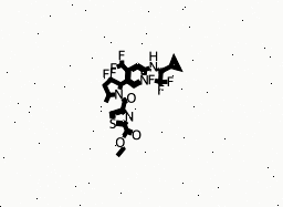 CCOC(=O)c1nc(C(=O)N2C(C)CC(F)(F)C2c2cnc(N[C@@H](C3CC3)C(F)(F)F)cc2C(F)F)cs1